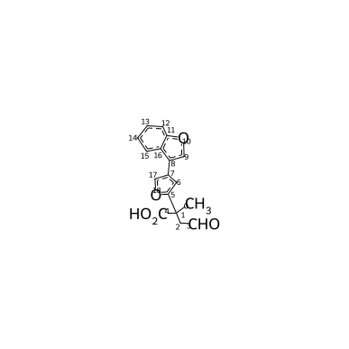 CC(CC=O)(C(=O)O)c1cc(-c2coc3ccccc23)co1